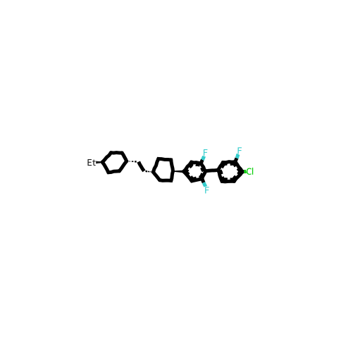 CC[C@H]1CC[C@H](CC[C@H]2CC[C@H](c3cc(F)c(-c4ccc(Cl)c(F)c4)c(F)c3)CC2)CC1